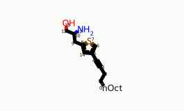 CCCCCCCCCCC#Cc1csc(CC(N)CO)c1